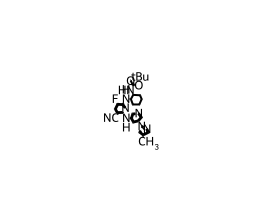 Cc1cnn(-c2cncc(Nc3nc(N[C@@H]4CCCC[C@@H]4NC(=O)OC(C)(C)C)c(F)cc3C#N)c2)c1